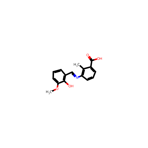 COc1cccc(C=Nc2cccc(C(=O)O)c2C)c1O